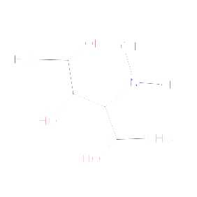 CC(O)C(O)C(C(O)C=O)N(C)C